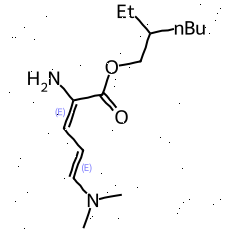 CCCCC(CC)COC(=O)/C(N)=C\C=C\N(C)C